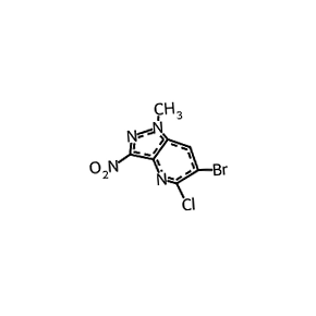 Cn1nc([N+](=O)[O-])c2nc(Cl)c(Br)cc21